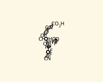 Cn1c(-c2ccc(OCC#N)c(F)c2F)cnc1C(=O)Nc1ccc(C(=O)N2CCN(C(=O)CN3CC(C(=O)O)C3)CC2)c(Cl)c1.O=C(O)C(F)(F)F